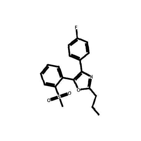 CCCc1nc(-c2ccc(F)cc2)c(-c2ccccc2S(C)(=O)=O)o1